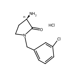 Cl.N[C@@H]1CCN(Cc2cccc(Cl)c2)C1=O